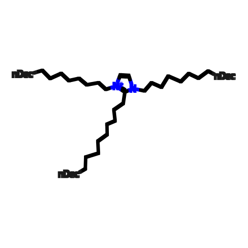 CCCCCCCCCCCCCCCCCCCc1n(CCCCCCCCCCCCCCCCCC)cc[n+]1CCCCCCCCCCCCCCCCCC